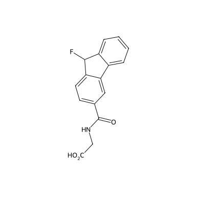 O=C(O)CNC(=O)c1ccc2c(c1)-c1ccccc1C2F